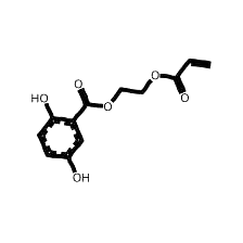 C=CC(=O)OCCOC(=O)c1cc(O)ccc1O